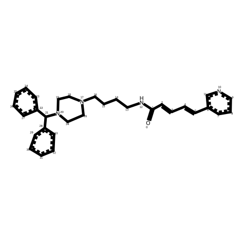 O=C(C=CC=Cc1cccnc1)NCCCCN1CCN(C(c2ccccc2)c2ccccc2)CC1